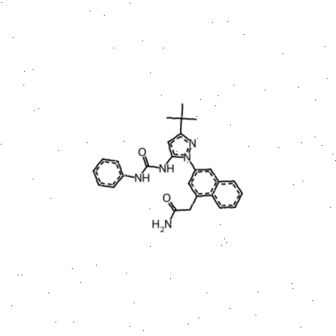 CC(C)(C)c1cc(NC(=O)Nc2ccccc2)n(-c2cc(CC(N)=O)c3ccccc3c2)n1